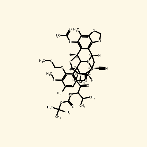 COCOc1c(OC)c(C)cc2c1[C@@H]1C3[C@@H]4SC[C@H](NC(=O)C(NC(=O)OC(C)(C)C)C(C)C)C(=O)OC[C@@H](c5c6c(c(C)c(OC(C)=O)c54)OCO6)N3[C@@H](C#N)[C@H](C2)N1C